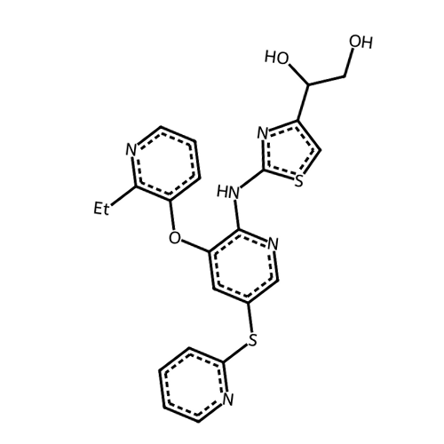 CCc1ncccc1Oc1cc(Sc2ccccn2)cnc1Nc1nc(C(O)CO)cs1